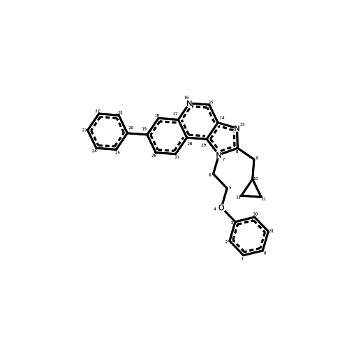 c1ccc(OCCn2c(CC3CC3)nc3cnc4cc(-c5ccccc5)ccc4c32)cc1